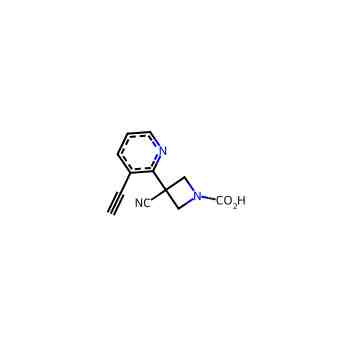 C#Cc1cccnc1C1(C#N)CN(C(=O)O)C1